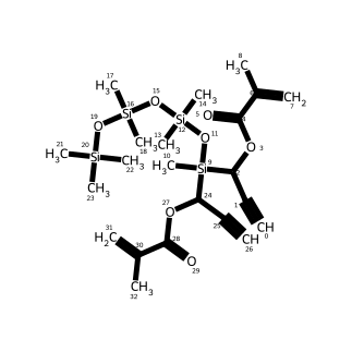 C#CC(OC(=O)C(=C)C)[Si](C)(O[Si](C)(C)O[Si](C)(C)O[Si](C)(C)C)C(C#C)OC(=O)C(=C)C